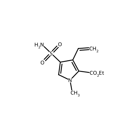 C=Cc1c(S(N)(=O)=O)cn(C)c1C(=O)OCC